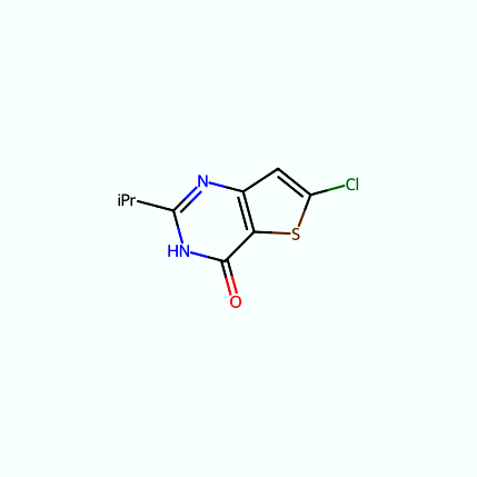 CC(C)c1nc2cc(Cl)sc2c(=O)[nH]1